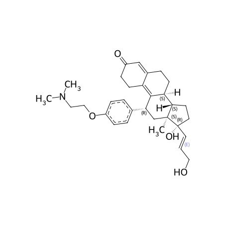 CN(C)CCOc1ccc([C@H]2C[C@@]3(C)[C@@H](CC[C@@]3(O)/C=C/CO)[C@@H]3CCC4=CC(=O)CCC4=C32)cc1